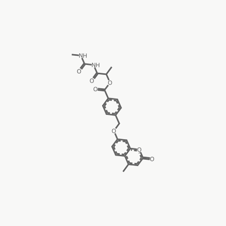 CNC(=O)NC(=O)C(C)OC(=O)c1ccc(COc2ccc3c(C)cc(=O)oc3c2)cc1